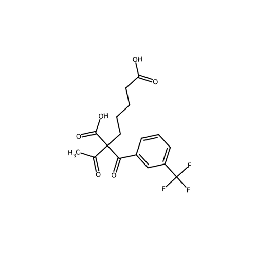 CC(=O)C(CCCCC(=O)O)(C(=O)O)C(=O)c1cccc(C(F)(F)F)c1